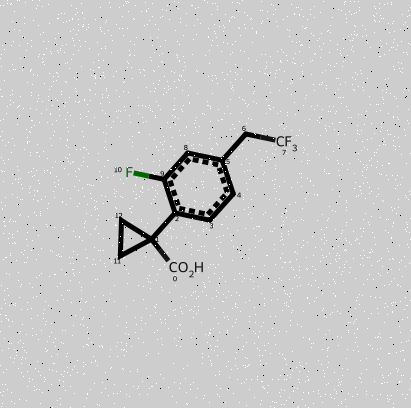 O=C(O)C1(c2ccc(CC(F)(F)F)cc2F)CC1